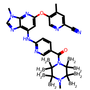 BC1(B)N(C)C(B)(B)C(B)(B)N(C(=O)c2ccc(Nc3cc(Oc4cnc(C#N)cc4C)nc4c3ncn4C)nc2)C1(B)B